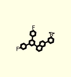 CB(C)c1cccc(-c2ccc3c(-c4cc(-c5ccc(F)cc5)cc(-c5ccc(F)cc5)c4)cccc3c2)c1